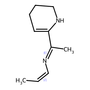 C/C=C\N=C(/C)C1=CCCCN1